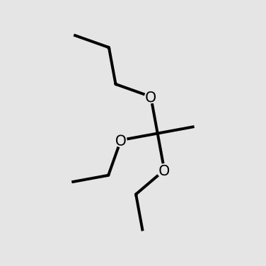 CCCOC(C)(OCC)OCC